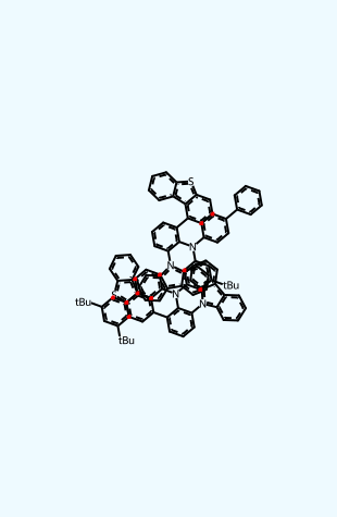 CC(C)(C)c1cc(N(c2cccc(-c3cc(C(C)(C)C)cc(C(C)(C)C)c3)c2)c2c(-c3ccc4sc5ccccc5c4c3)cccc2-n2c3ccccc3c3ccccc32)cc(N(c2ccc(-c3ccccc3)cc2)c2c(-c3cccc4sc5ccccc5c34)cccc2-n2c3ccccc3c3ccccc32)c1